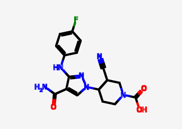 N#CC1CN(C(=O)O)CCC1n1cc(C(N)=O)c(Nc2ccc(F)cc2)n1